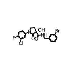 O=C(NCc1cccc(Br)c1)[C@]1(O)CCN(c2ccc(F)c(Cl)c2)C1=O